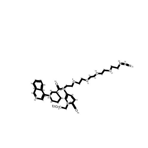 CCOC(=O)Cn1cc(N(CCOCCOCCOCCOCCN=[N+]=[N-])C(=O)[C@H]2CCCN(c3cncc4ccccc34)C2)ccc1=O